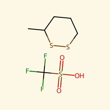 CC1CCCSS1.O=S(=O)(O)C(F)(F)F